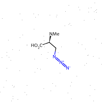 CN[C@@H](CN=[N+]=[N-])C(=O)O